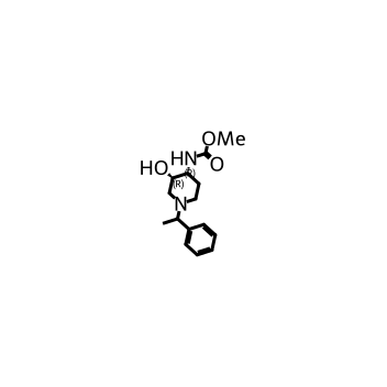 COC(=O)N[C@@H]1CCN(C(C)c2ccccc2)C[C@H]1O